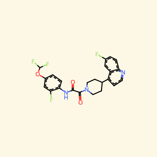 O=C(Nc1ccc(OC(F)F)cc1F)C(=O)N1CCC(c2ccnc3ccc(F)cc23)CC1